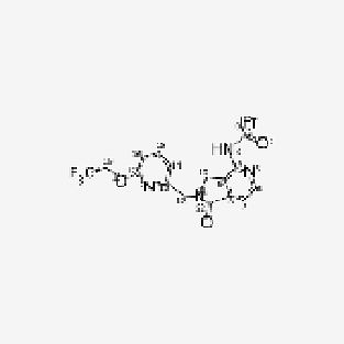 CC(C)C(=O)Nc1nccc2c1CN(Cc1cccc(OCC(F)(F)F)n1)C2=O